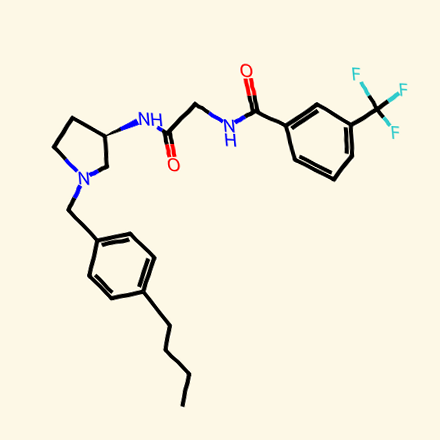 CCCCc1ccc(CN2CC[C@@H](NC(=O)CNC(=O)c3cccc(C(F)(F)F)c3)C2)cc1